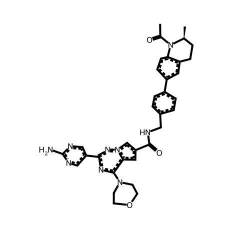 CC(=O)N1c2ccc(-c3ccc(CNC(=O)c4cc5c(N6CCOCC6)nc(-c6cnc(N)nc6)nn5c4)cc3)cc2CC[C@@H]1C